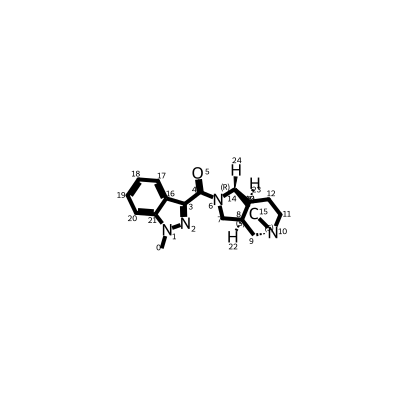 Cn1nc(C(=O)N2C[C@@H]3C[N@@]4CC[C@@H]3[C@@H]2C4)c2ccccc21